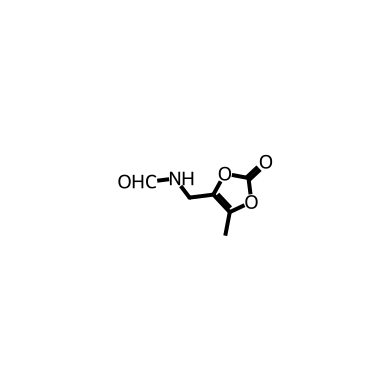 Cc1oc(=O)oc1CNC=O